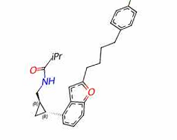 CC(C)C(=O)NC[C@@H]1C[C@H]1c1cccc2oc(CCCCc3ccc(F)cc3)cc12